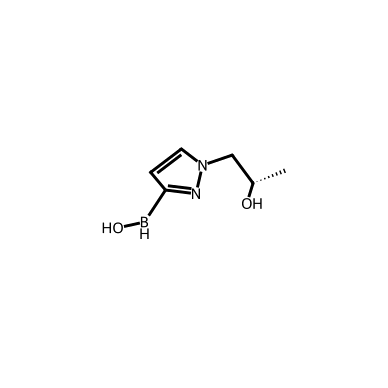 C[C@H](O)Cn1ccc(BO)n1